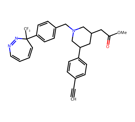 C#Cc1ccc(C2CC(CC(=O)OC)CN(Cc3ccc(C4(C(F)(F)F)C=CC=CN=N4)cc3)C2)cc1